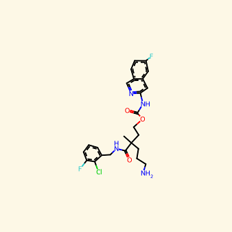 CC(CCCN)(CCOC(=O)Nc1cc2cc(F)ccc2cn1)C(=O)NCc1cccc(F)c1Cl